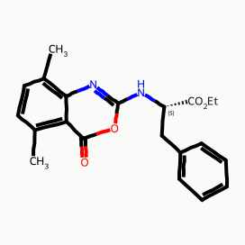 CCOC(=O)[C@H](Cc1ccccc1)Nc1nc2c(C)ccc(C)c2c(=O)o1